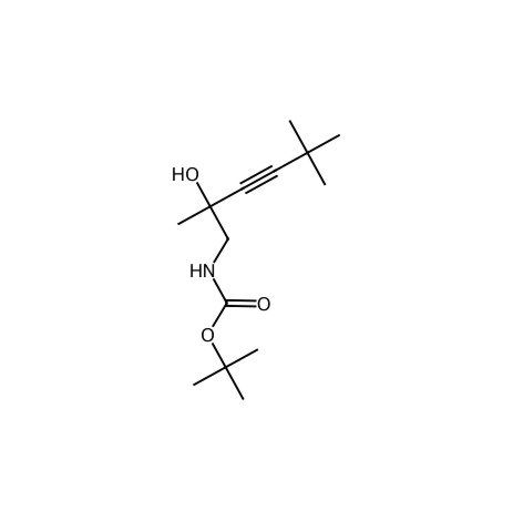 CC(C)(C)C#CC(C)(O)CNC(=O)OC(C)(C)C